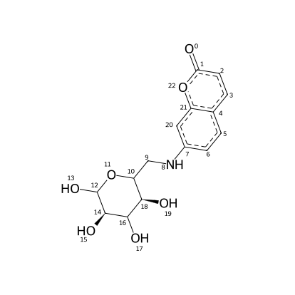 O=c1ccc2ccc(NCC3OC(O)[C@H](O)C(O)[C@@H]3O)cc2o1